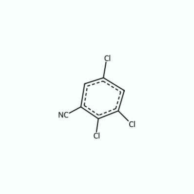 N#Cc1cc(Cl)cc(Cl)c1Cl